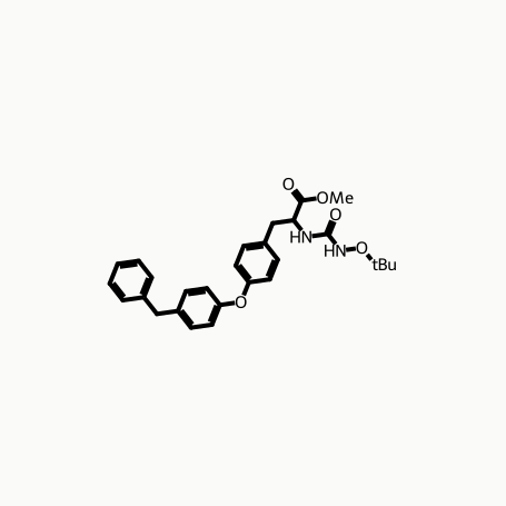 COC(=O)C(Cc1ccc(Oc2ccc(Cc3ccccc3)cc2)cc1)NC(=O)NOC(C)(C)C